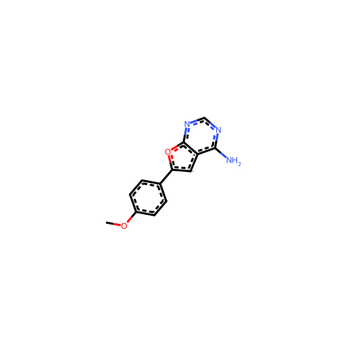 COc1ccc(-c2[c]c3c(N)ncnc3o2)cc1